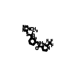 C[C@H](Sc1nncn1C)c1cccc(NC(=O)c2ccnc(C(F)(F)F)n2)c1